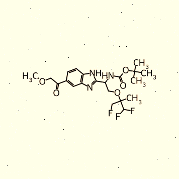 COCC(=O)c1ccc2[nH]c(C(COC(C)(CF)C(F)F)NC(=O)OC(C)(C)C)nc2c1